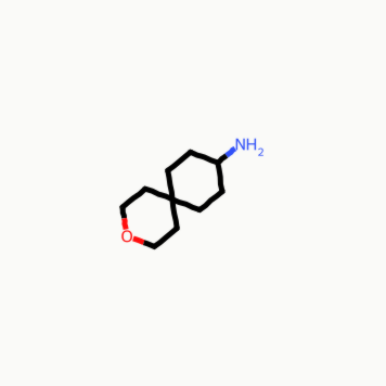 NC1CCC2(CCOCC2)CC1